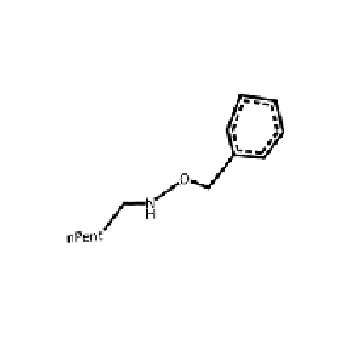 CCCCCCNOCc1ccccc1